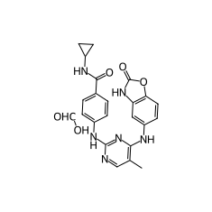 Cc1cnc(Nc2ccc(C(=O)NC3CC3)cc2)nc1Nc1ccc2oc(=O)[nH]c2c1.O=CO